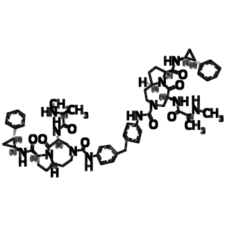 CN[C@@H](C)C(=O)N[C@H]1CN(C(=O)Nc2ccc(Cc3ccc(NC(=O)N4CC[C@H]5CC[C@@H](C(=O)N[C@H]6C[C@@H]6c6ccccc6)N5C(=O)[C@H](NC(=O)[C@H](C)NC)C4)cc3)cc2)CC[C@H]2CC[C@@H](C(=O)N[C@H]3C[C@@H]3c3ccccc3)N2C1=O